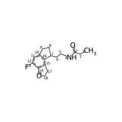 CCC(=O)NCCC1CCc2cc(F)c3c(c21)CCO3